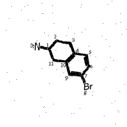 [N]C1CCc2ccc(Br)cc2C1